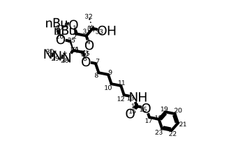 CCCCOCC(O[C@H](OCCCCCCNC(=O)OCc1ccccc1)[C@H](COCCCC)N=[N+]=[N-])[C@H](C)O